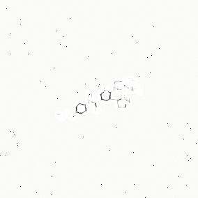 N[C@]1(C(F)(F)F)CCN(c2ncc(C(=O)Nc3ccc(OC(F)(F)F)cc3)cc2C2=NN=CC2)C1